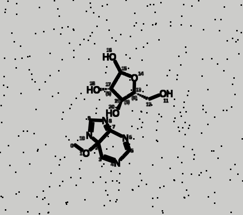 COC12C=NC=NC1=NC=N2.OC[C@H]1OC(O)[C@@H](O)[C@@H]1O